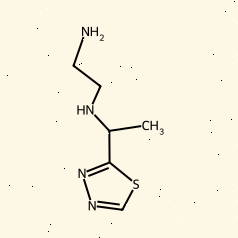 CC(NCCN)c1nncs1